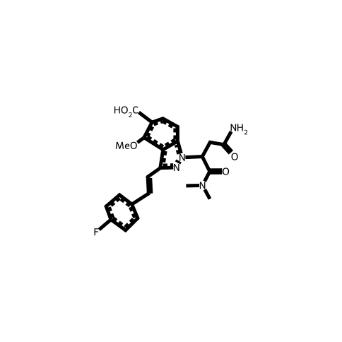 COc1c(C(=O)O)ccc2c1c(C=Cc1ccc(F)cc1)nn2C(CC(N)=O)C(=O)N(C)C